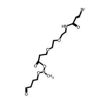 CN(OCCCC=O)OC(=O)CCOCCOCCNC(=O)/C=C/Br